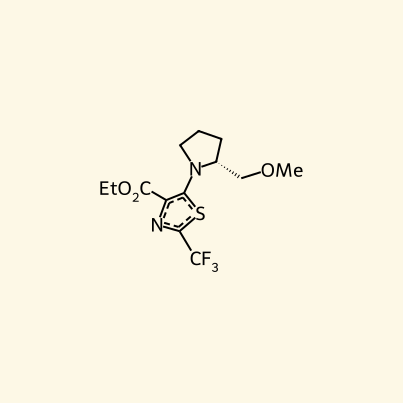 CCOC(=O)c1nc(C(F)(F)F)sc1N1CCC[C@@H]1COC